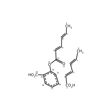 CC=CC=CC(=O)O.CC=CC=CC(=O)Oc1ccccc1C(=O)O